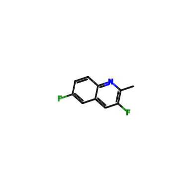 Cc1nc2ccc(F)cc2cc1F